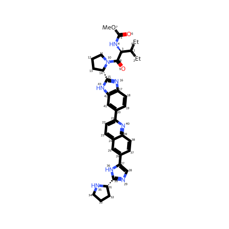 CCC(CC)[C@H](NC(=O)OC)C(=O)N1CCC[C@H]1c1nc2ccc(-c3ccc4cc(-c5cnc([C@@H]6CCCN6)[nH]5)ccc4n3)cc2[nH]1